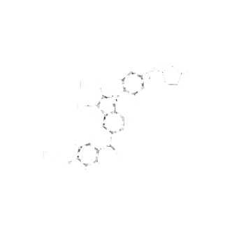 O=C(c1ccc(OC(F)(F)F)cc1)c1ccc2c(c1)c(Cl)c(C(=O)O)n2-c1ccc(OC2CCCC2)cc1